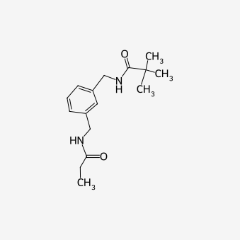 CCC(=O)NCc1cccc(CNC(=O)C(C)(C)C)c1